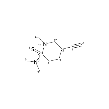 C#CC1CCP(=S)(N(C)C)N(C)C1